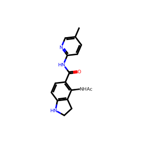 CC(=O)Nc1c(C(=O)Nc2ccc(C)cn2)ccc2c1CCN2